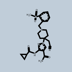 CS(=O)(=O)c1ccccc1CN1CCC(CC#N)(n2cc(C(N)=O)c(NC(=O)C3CC3)n2)CC1